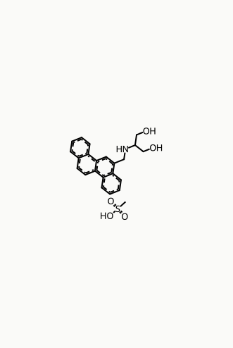 CS(=O)(=O)O.OCC(CO)NCc1cc2c3ccccc3ccc2c2ccccc12